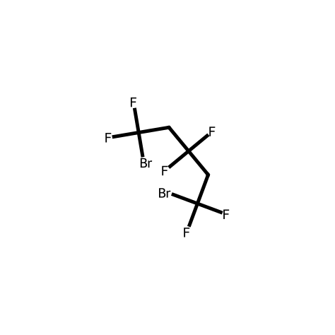 FC(F)(Br)CC(F)(F)CC(F)(F)Br